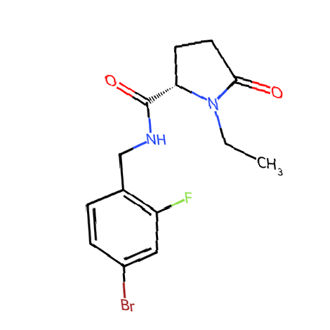 CCN1C(=O)CC[C@H]1C(=O)NCc1ccc(Br)cc1F